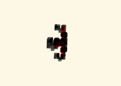 CCCCCCCCCCOC(=O)CCCCCCCC(=O)OCC(COC(=O)CCCCCCCC(=O)OCCCCCCCCCC)OC(=O)CCC(CCCCCCCC)OC(=O)NCCN(C)CC